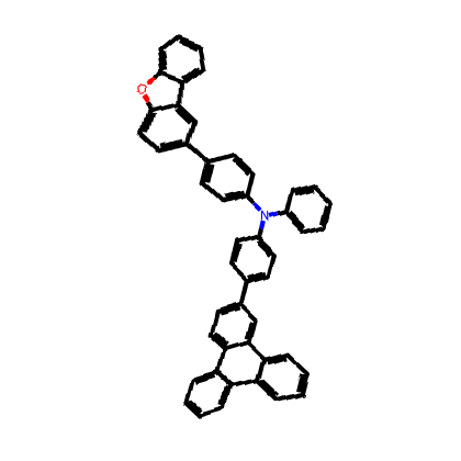 c1ccc(N(c2ccc(-c3ccc4oc5ccccc5c4c3)cc2)c2ccc(-c3ccc4c5ccccc5c5ccccc5c4c3)cc2)cc1